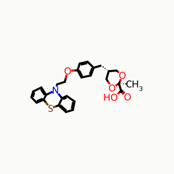 C[C@]1(C(=O)O)OC[C@H](Cc2ccc(OCCN3c4ccccc4Sc4ccccc43)cc2)CO1